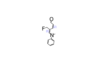 CN(/C=C(\C=C/C=O)CF)c1ccccc1